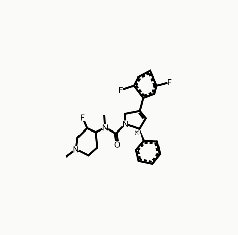 CN1CCC(N(C)C(=O)N2CC(c3cc(F)ccc3F)=C[C@H]2c2ccccc2)C(F)C1